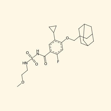 COCCNS(=O)(=O)NC(=O)c1cc(C2CC2)c(OCC23CC4CC(CC(C4)C2)C3)cc1F